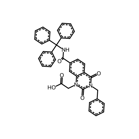 O=C(O)Cn1c(=O)n(Cc2ccccc2)c(=O)c2ccc(C(=O)NC(c3ccccc3)(c3ccccc3)c3ccccc3)cc21